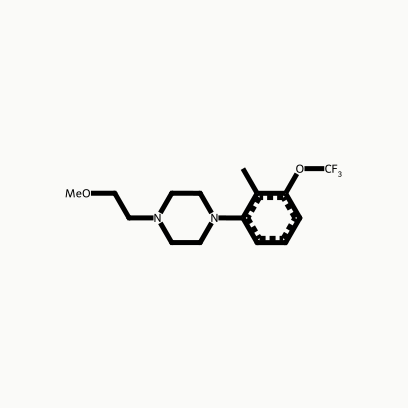 COCCN1CCN(c2cccc(OC(F)(F)F)c2C)CC1